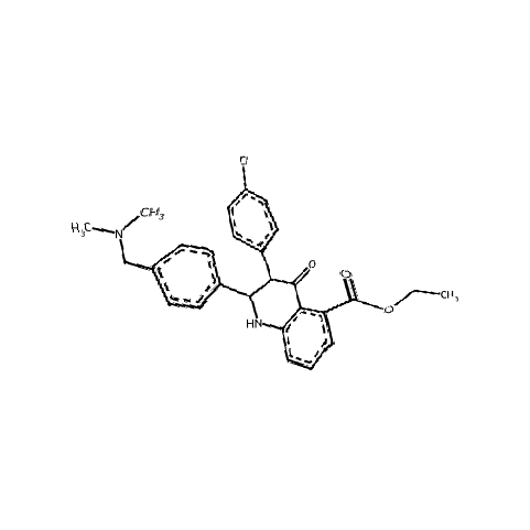 CCOC(=O)c1cccc2c1C(=O)C(c1ccc(Cl)cc1)C(c1ccc(CN(C)C)cc1)N2